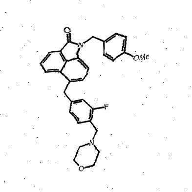 COc1ccc(CN2C(=O)c3cccc4c(Cc5ccc(CN6CCOCC6)c(F)c5)ccc2c34)cc1